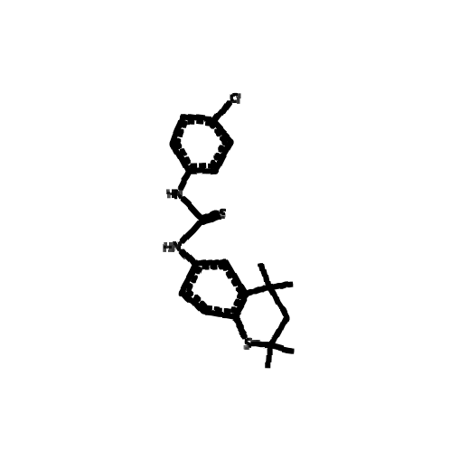 CC1(C)CC(C)(C)c2cc(NC(=S)Nc3ccc(Cl)cc3)ccc2S1